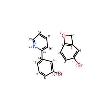 Brc1ccc2c(c1)CO2.Brc1cccc(-c2ccccn2)c1